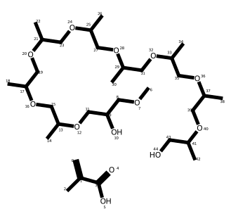 C=C(C)C(=O)O.COCC(O)COC(C)COC(C)COC(C)COC(C)COC(C)COC(C)COC(C)COC(C)CO